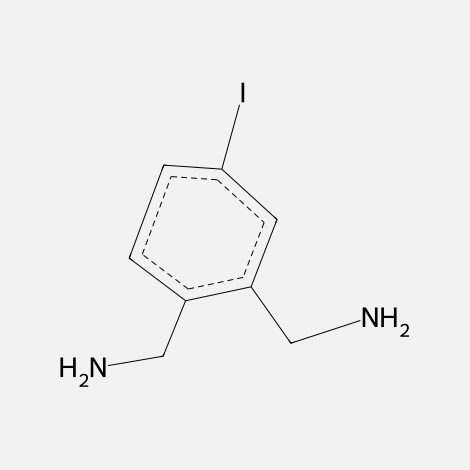 NCc1ccc(I)cc1CN